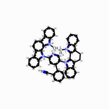 Cn1c2c(c3ccccc31)CCc1c-2n(-c2cnc(-n3c4ccccc4c4ccc5c6ccccc6n(C)c5c43)cc2-c2ccccc2C#N)c2ccccc12